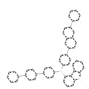 c1ccc(-c2ccc(-c3ccc(N(c4ccc(-c5ccc6cc(-c7ccccc7)ccc6c5)cc4)c4cccc5oc6ccccc6c45)cc3)cc2)cc1